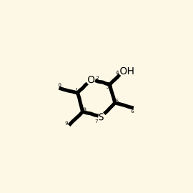 CC1OC(O)C(C)SC1C